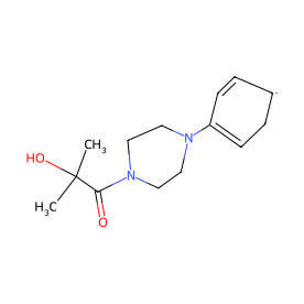 CC(C)(O)C(=O)N1CCN(C2=CC[CH]C=C2)CC1